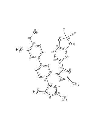 Cc1nc(-c2cc(-c3ccc(CO)c(C)c3)ccc2-n2nc(C(F)(F)F)cc2C)c(-c2ccc3c(c2)OC(F)(F)O3)o1